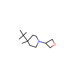 CC(C)(C)C1(C)CCN(C2COC2)CC1